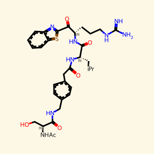 CC(=O)N[C@@H](CO)C(=O)NCc1ccc(CC(=O)N[C@@H](CC(C)C)C(=O)N[C@@H](CCCNC(=N)N)C(=O)c2nc3ccccc3s2)cc1